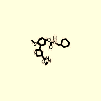 CSc1ccc(OC(=O)NCC2CCCCC2)cc1-c1cncc(-c2nnco2)c1